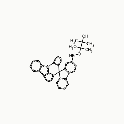 CC(C)(O)C(C)(C)OBc1ccc2c(c1)C1(c3ccccc3-2)c2ccccc2-n2c3ccccc3c3cccc1c32